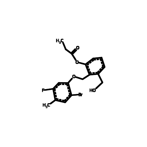 CCC(=O)Oc1cccc(CO)c1COc1cc(F)c(C)cc1Br